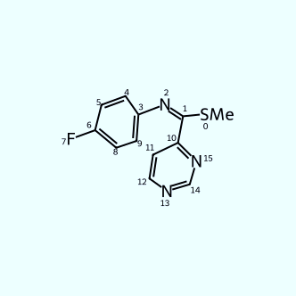 CSC(=Nc1ccc(F)cc1)c1ccncn1